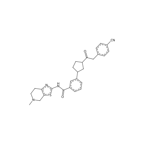 CN1CCc2nc(NC(=O)c3cccc(C4CCC(C(=O)Cc5ccc(C#N)cc5)C4)c3)sc2C1